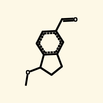 COC1CCc2cc(C=O)ccc21